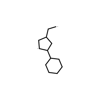 [CH2]CC1C[CH]C(C2CCCCC2)C1